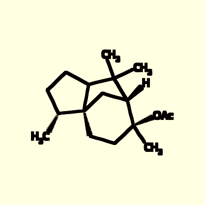 CC(=O)O[C@]1(C)CC[C@@]23C[C@@H]1C(C)(C)C2CC[C@H]3C